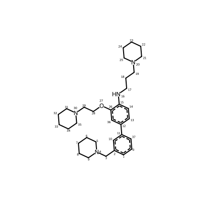 c1cc(CN2CCCCC2)cc(-c2ccc(NCCCN3CCCCC3)c(OCCN3CCCCC3)c2)c1